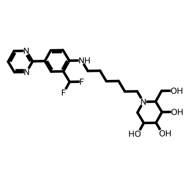 OCC1C(O)C(O)C(O)CN1CCCCCCNc1ccc(-c2ncccn2)cc1C(F)F